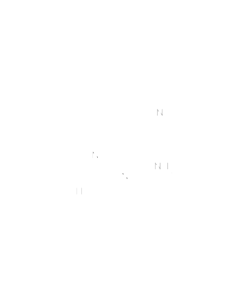 Cc1ncc(C#N)c(N)n1